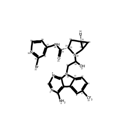 Nc1ncnc2c1c1cc(C(F)(F)F)ccc1n2CC(O)N1C2C[C@@H]2C[C@H]1C(=O)Nc1ccnc(Br)c1